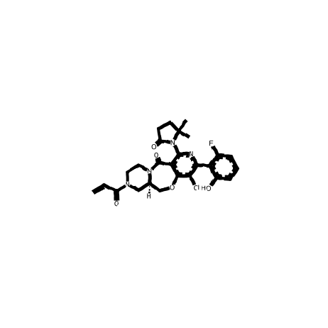 C=CC(=O)N1CCN2C(=O)c3c(N4C(=O)CCC4(C)C)nc(-c4c(O)cccc4F)c(Cl)c3OC[C@H]2C1